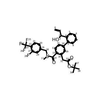 C=CC(O)c1ccccc1-c1ccc(C(=O)N(C)Cc2ccc(C(F)(F)F)c(F)c2)c(CC(=O)OC(C)(C)C)c1